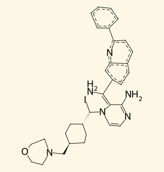 NC1=NC=CN(C(I)[C@H]2CC[C@H](CN3CCOCC3)CC2)/C1=C(\N)c1ccc2ccc(-c3ccccc3)nc2c1